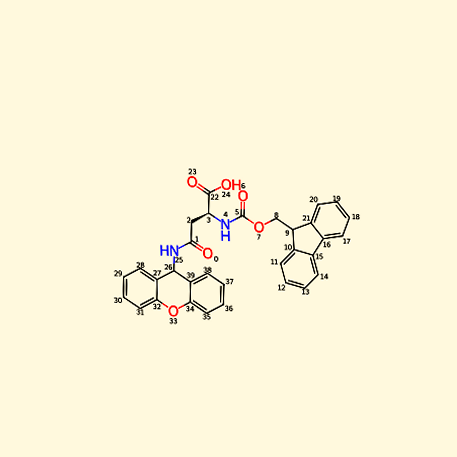 O=C(C[C@H](NC(=O)OCC1c2ccccc2-c2ccccc21)C(=O)O)NC1c2ccccc2Oc2ccccc21